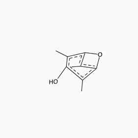 Cc1c(O)c(C)c2c(C)c1O2